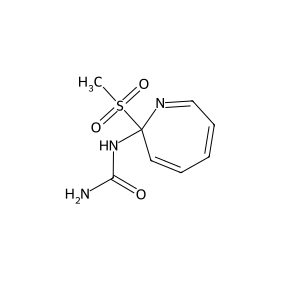 CS(=O)(=O)C1(NC(N)=O)C=CC=CC=N1